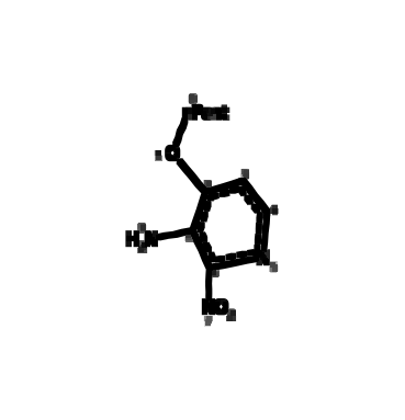 CCCCCOc1ccnc([N+](=O)[O-])c1N